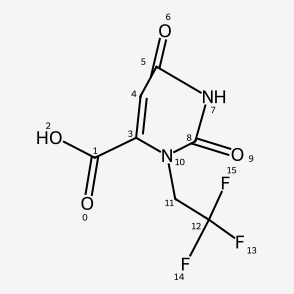 O=C(O)c1cc(=O)[nH]c(=O)n1CC(F)(F)F